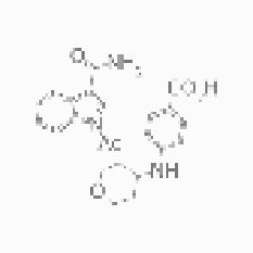 CC(=O)n1cc(C(N)=O)c2ccccc21.O=C(O)c1ccc(NC2CCOCC2)cc1